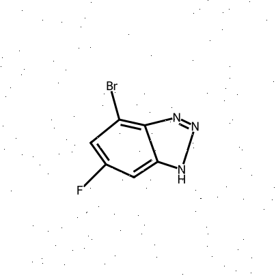 Fc1cc(Br)c2nn[nH]c2c1